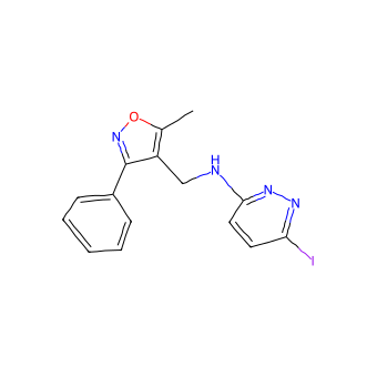 Cc1onc(-c2ccccc2)c1CNc1ccc(I)nn1